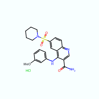 COc1cccc(Nc2c(C(N)=O)cnc3ccc(S(=O)(=O)N4CCCCC4)cc23)c1.Cl